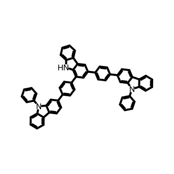 c1ccc(-n2c3ccccc3c3ccc(-c4ccc(-c5cc(-c6ccc(-c7ccc8c9ccccc9n(-c9ccccc9)c8c7)cc6)c6[nH]c7ccccc7c6c5)cc4)cc32)cc1